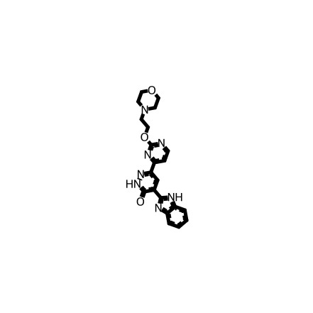 O=c1[nH]nc(-c2ccnc(OCCN3CCOCC3)n2)cc1-c1nc2ccccc2[nH]1